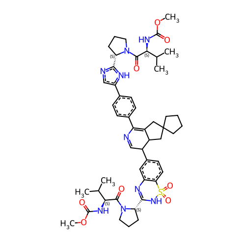 COC(=O)N[C@H](C(=O)N1CCC[C@H]1C1=Nc2cc(C3C=NC(c4ccc(-c5cnc([C@@H]6CCCN6C(=O)[C@@H](NC(=O)OC)C(C)C)[nH]5)cc4)=C4CC5(CCCC5)CC43)ccc2S(=O)(=O)N1)C(C)C